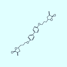 C=C1CC(CCCOc2ccc(-c3ccc(OCCCC4CC(=C)C(=O)O4)cc3)cc2)OC1=O